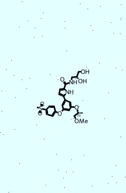 COC[C@H](C)Oc1cc(Oc2ccc(S(C)(=O)=O)cc2)cc(-c2ccc(C(=O)NC[C@H](O)CO)[nH]2)c1